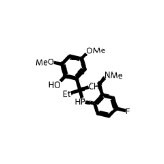 CCC(C)(Pc1ccc(F)cc1CNC)c1cc(OC)cc(OC)c1O